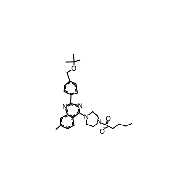 CCCCS(=O)(=O)N1CCN(c2nc(-c3ccc(COC(C)(C)C)cc3)nc3cc(C)ccc23)CC1